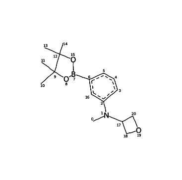 CN(c1cccc(B2OC(C)(C)C(C)(C)O2)c1)C1COC1